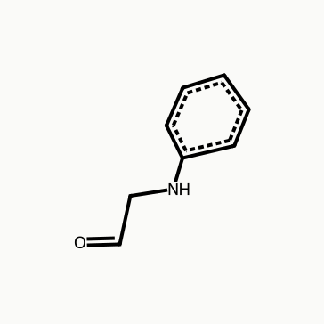 O=CCNc1ccccc1